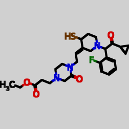 CCOC(=O)CCN1CCN(CC=C2CN(C(C(=O)C3CC3)c3ccccc3F)CCC2S)C(=O)C1